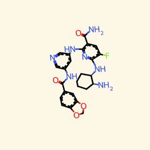 NC(=O)c1cc(F)c(N[C@@H]2CCCC[C@@H]2N)nc1Nc1cncc(NC(=O)c2ccc3c(c2)OCO3)c1